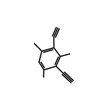 C#Cc1c(C)cc(C)c(C#C)c1C